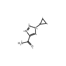 NC(=O)c1cn(C2CC2)nn1